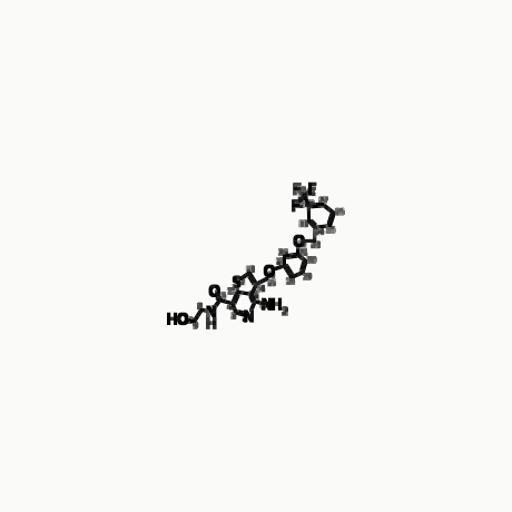 Nc1ncc(C(=O)NCCO)c2scc(COc3cccc(OCc4cccc(C(F)(F)F)c4)c3)c12